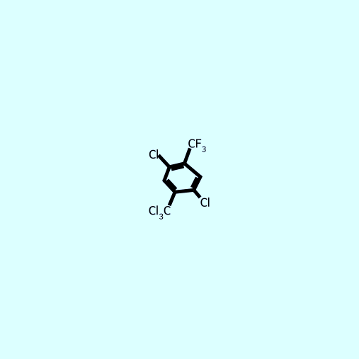 FC(F)(F)c1cc(Cl)c(C(Cl)(Cl)Cl)cc1Cl